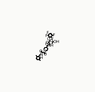 Cc1ccc(C)c(CNC(=O)C(=O)N2CCC(C(=O)N[C@@H](CC(=O)O)C(=O)COc3c(F)c(F)cc(F)c3F)CC2)c1